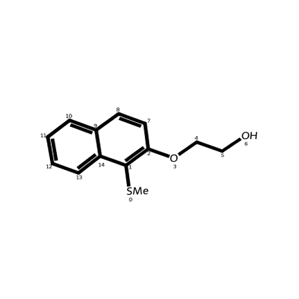 CSc1c(OCCO)ccc2ccccc12